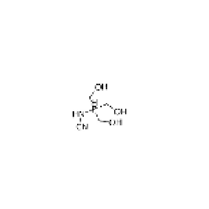 N#CN[PH](CO)(CO)CO